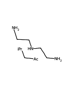 CC(=O)CC(C)C.NCCNCCN